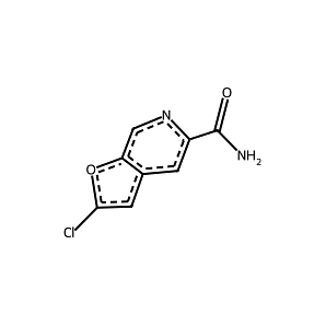 NC(=O)c1cc2cc(Cl)oc2cn1